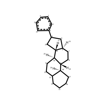 c1ccc(C2C[C@H]3CC[C@H]4[C@@H](CCC5CCCC[C@@H]54)[C@@H]3C2)cc1